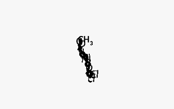 COC(=O)CC1CC(N2CCc3nc(-c4ccc(OCc5ccc(Cl)c(Cl)c5)cc4)ncc3C2)C1